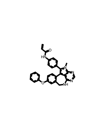 C=CC(=O)Nc1ccc(-c2c3c4c(ncnc4n2C)NCc2cc(Oc4ccccc4)ccc2-3)cc1